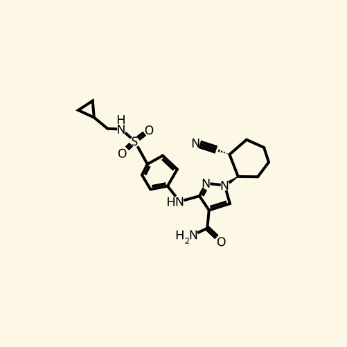 N#C[C@@H]1CCCC[C@H]1n1cc(C(N)=O)c(Nc2ccc(S(=O)(=O)NCC3CC3)cc2)n1